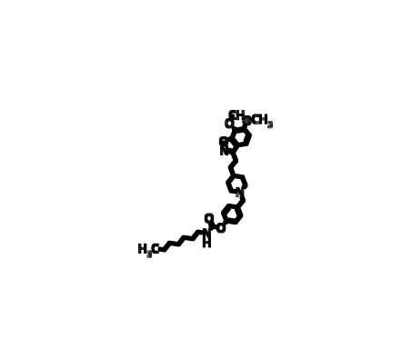 CCCCCCCNC(=O)Oc1ccc(CN2CCC(CCc3noc4c(OC)c(OC)ccc34)CC2)cc1